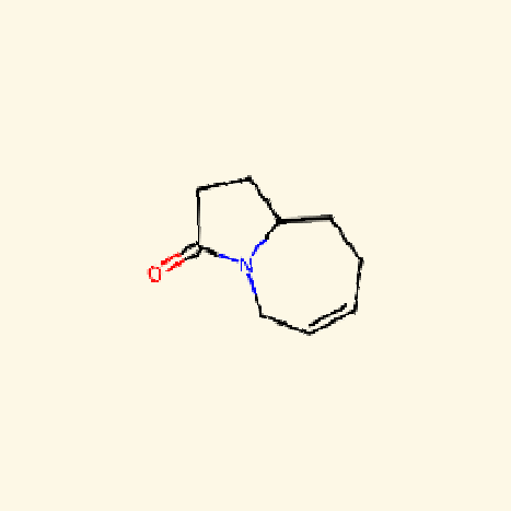 O=C1CCC2CCC=CCN12